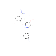 CCOC(=O)COc1c(F)c(Oc2cccc(N(C)C)c2)nc(Oc2cc(C(=N)N)ccc2O)c1F